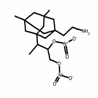 CC(C(CO[N+](=O)[O-])O[N+](=O)[O-])C12CC3(C)CC(C)(CC(CCN)(C3)C1)C2